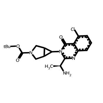 C[C@H](N)c1nc2cccc(Cl)c2c(=O)n1C1C2CN(C(=O)OC(C)(C)C)CC21